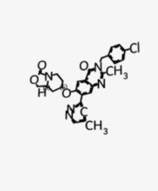 Cc1cnnc(-c2cc3nc(C)n(Cc4ccc(Cl)cc4)c(=O)c3cc2O[C@H]2CCN3C(=O)OC[C@@H]3C2)c1